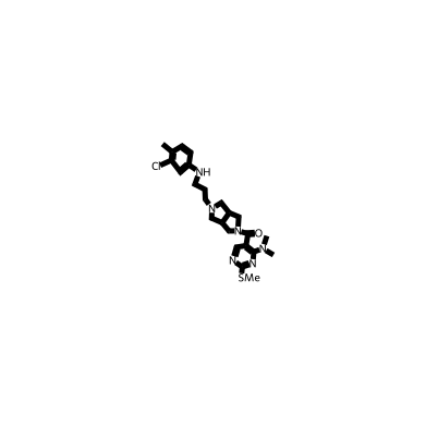 CSc1ncc(C(=O)N2CC3CN(CCCNc4ccc(C)c(Cl)c4)CC3C2)c(N(C)C)n1